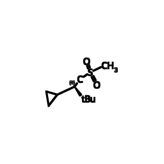 CC(C)(C)[C@H](CS(C)(=O)=O)C1CC1